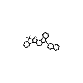 CC1(C)c2ccccc2-c2c1oc1c2ccc2c1c1ccccc1n2-c1ccc2ccccc2c1